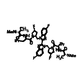 CN[C@H](C)C(=O)NC(CC(C)C)C(=O)N1CC(F)C[C@H]1Cn1c(-c2nc3cc(F)ccc3n2C[C@@H]2CC(F)CN2C(=O)[C@H](NC(=O)[C@@H](C)NC)C(C)C)nc2cc(F)ccc21